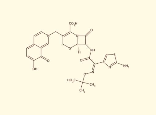 CC(C)(O/N=C(\C(=O)NC1C(=O)N2C(C(=O)O)=C(Cn3ccc4ccc(O)c(=O)c-4c3)CS[C@H]12)c1csc(N)n1)C(=O)O